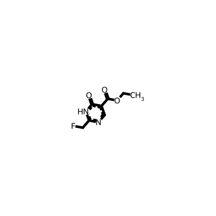 CCOC(=O)c1cnc(CF)[nH]c1=O